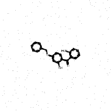 O=C(c1ccccc1O)c1ccc(OCc2ccccc2)cc1O